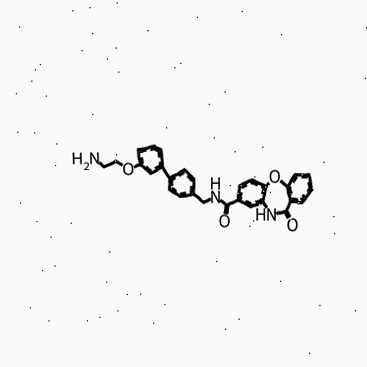 NCCOc1cccc(-c2ccc(CNC(=O)c3ccc4c(c3)NC(=O)c3ccccc3O4)cc2)c1